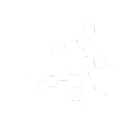 COCCn1c(-c2cc(F)ccc2C(=O)N2Cc3ccccc3C[C@H]2CN2CCOCC2)cc(C(=O)N(c2ccc(O)cc2)c2cnc3c(c2)CCN3C)c1C